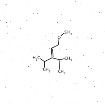 CC(C)C(=CCO[SiH3])C(C)C